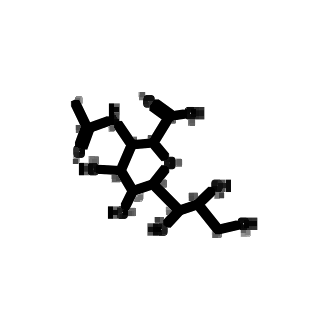 CC(=O)NC1C(C(=O)O)OC(C(O)C(O)CO)C(O)C1O